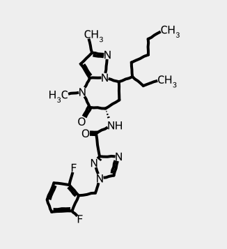 CCCCC(CC)C1C[C@H](NC(=O)c2ncn(Cc3c(F)cccc3F)n2)C(=O)N(C)c2cc(C)nn21